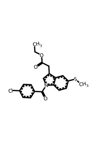 CCOC(=O)Cc1cn(C(=O)c2ccc(Cl)cc2)c2ccc(SC)cc12